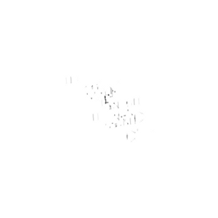 CCC(=O)[C@@H]1CCCN1C(=O)[C@H](C)NC(=O)[C@@H]1CCCCN1C(=O)[C@@H]1C[C@@H](O)CN1C(=O)[C@@H](NC(=O)[C@H](Cc1cccc(C)c1)NC(=O)Nc1cccc(Cl)c1)[C@H](C)O